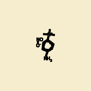 C[N+](C)(C)c1ccc(N)cc1.O=N[O-]